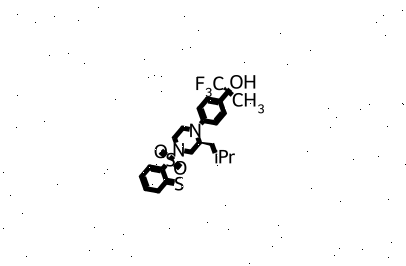 CC(C)C[C@H]1CN(S(=O)(=O)C2=CC=CCC2=S)CCN1c1ccc([C@@](C)(O)C(F)(F)F)cc1